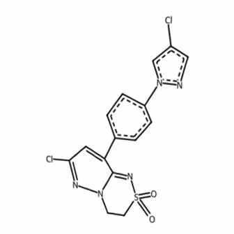 O=S1(=O)CCN2N=C(Cl)C=C(c3ccc(-n4cc(Cl)cn4)cc3)C2=N1